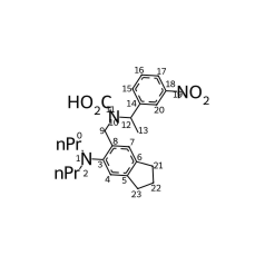 CCCN(CCC)c1cc2c(cc1CN(C(=O)O)C(C)c1cccc([N+](=O)[O-])c1)CCC2